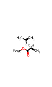 C=C(C)C(=O)O.[CH2]CCC(C)OC(=O)C=C